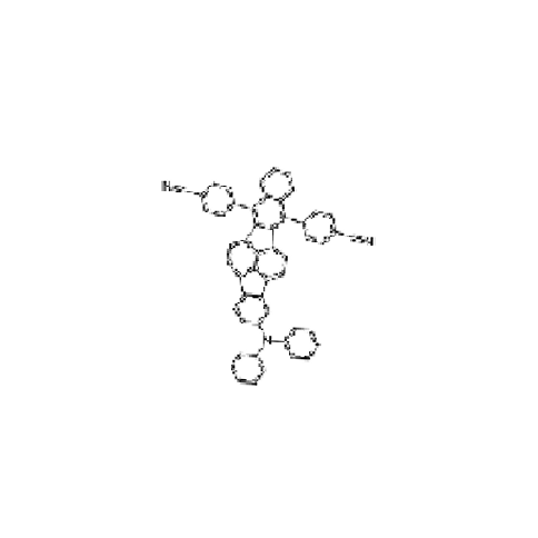 N#Cc1ccc(-c2c3c(c(-c4ccc(C#N)cc4)c4ccccc24)-c2ccc4c5c(ccc-3c25)-c2ccc(N(c3ccccc3)c3ccccc3)cc2-4)cc1